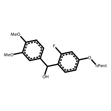 CCCCCOc1ccc(C(O)c2ccc(OC)c(OC)c2)c(F)c1